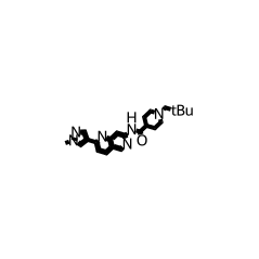 Cn1cc(-c2ccc3cnc(NC(=O)C4CCN(CC(C)(C)C)CC4)cc3n2)cn1